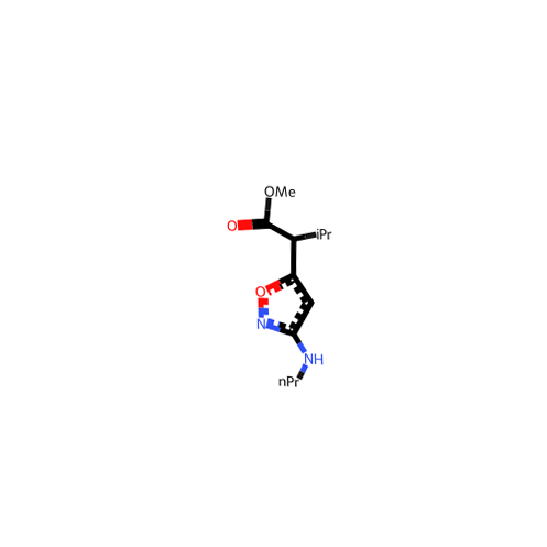 CCCNc1cc(C(C(=O)OC)C(C)C)on1